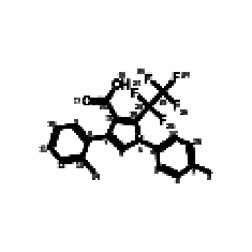 Cc1ccc(-n2cc(-c3ccccc3C)c(C(=O)O)c2C(F)(F)C(F)(F)F)cc1